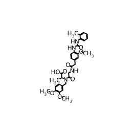 COc1cc(CC(=O)NCC(=O)N(Cc2ccc(OC)c(OC)c2)C(C)C(=O)O)ccc1NC(=O)Nc1ccccc1C